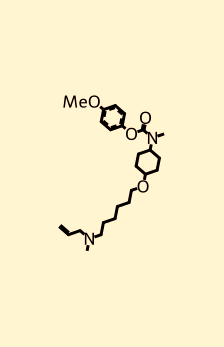 C=CCN(C)CCCCCCOC1CCC(N(C)C(=O)Oc2ccc(OC)cc2)CC1